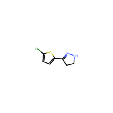 Clc1ccc(C2=NNCC2)s1